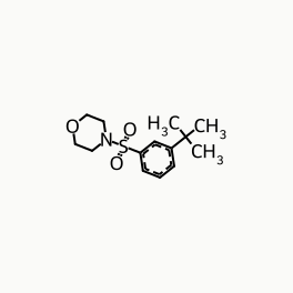 CC(C)(C)c1cccc(S(=O)(=O)N2CCOCC2)c1